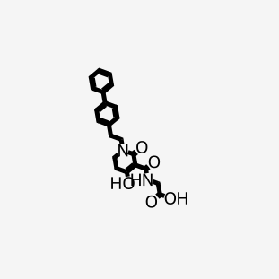 O=C(O)CNC(=O)C1=C(O)CCN(CCc2ccc(-c3ccccc3)cc2)C1=O